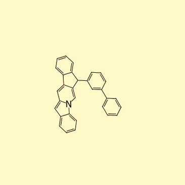 c1ccc(-c2cccc(C3c4ccccc4-c4cc5cc6ccccc6n5cc43)c2)cc1